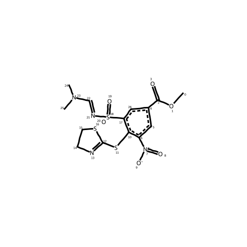 COC(=O)c1cc([N+](=O)[O-])c(SC2=NCCS2)c(S(=O)(=O)/N=C/N(C)C)c1